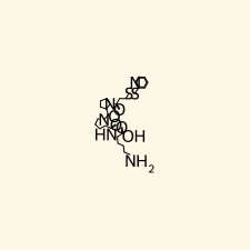 NCCCCC(NC(=O)C1CCCN1C(=O)C1CCCN1C(=O)CCSSc1ccccn1)C(=O)O